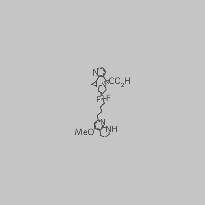 COc1cc(CCCCC(F)(F)[C@@H]2CCN([C@H](C(=O)O)c3cccnc3C3CC3)C2)nc2c1CCCN2